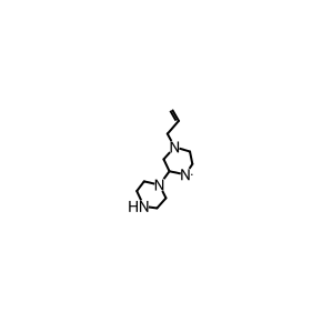 C=CCN1CC[N]C(N2CCNCC2)C1